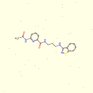 CC(=O)Nc1cccc(C(=O)NCCCNc2nsc3ccccc23)n1